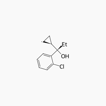 CC[C@@](O)(c1ccccc1Cl)[C@H]1[CH]C1